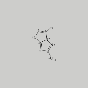 Cc1coc2cc(C(F)(F)F)nn12